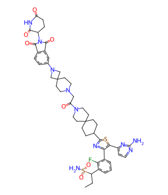 CCC(c1cccc(-c2nc(C3CCC4(CC3)CCN(C(=O)CN3CCC5(CC3)CN(c3ccc6c(c3)C(=O)N(C3CCC(=O)NC3=O)C6=O)C5)CC4)sc2-c2ccnc(N)n2)c1F)S(N)(=O)=O